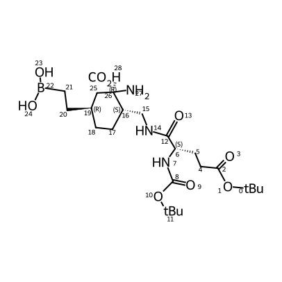 CC(C)(C)OC(=O)CC[C@H](NC(=O)OC(C)(C)C)C(=O)NC[C@@H]1CC[C@@H](CCB(O)O)C[C@]1(N)C(=O)O